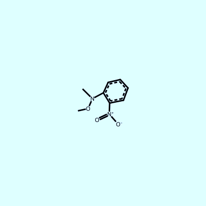 CON(C)c1ccccc1[N+](=O)[O-]